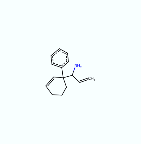 C=CC(N)C1(c2ccccc2)C=CCCC1